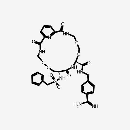 N=C(N)c1ccc(CNC(=O)[C@@H]2CCCCNC(=O)c3cccc(n3)C(=O)NCCCC[C@@H](NS(=O)(=O)Cc3ccccc3)C(=O)N2)cc1